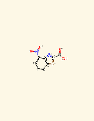 O=C(O)c1nc2c([N+](=O)[O-])cccc2s1